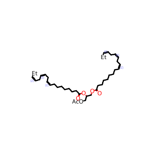 CC/C=C\C/C=C\C/C=C\CCCCCCCC(=O)OCC(COC(C)=O)OC(=O)CCCCCCC/C=C\C/C=C\C/C=C\CC